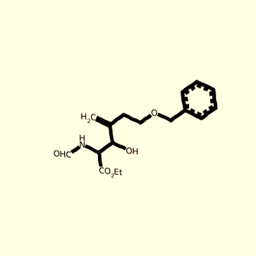 C=C(CCOCc1ccccc1)C(O)C(NC=O)C(=O)OCC